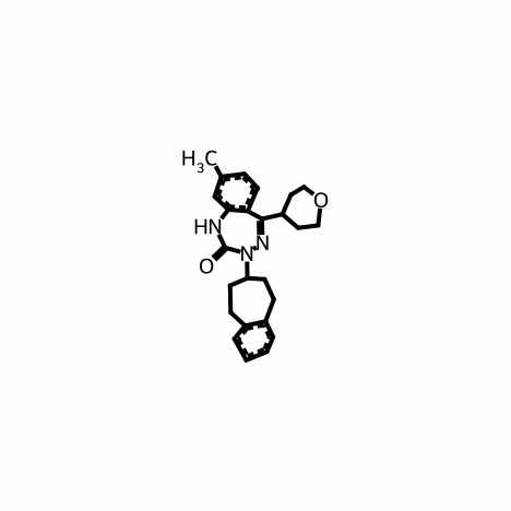 Cc1ccc2c(c1)NC(=O)N(C1CCc3ccccc3CC1)N=C2C1CCOCC1